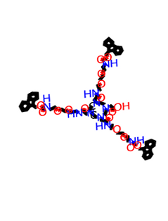 O=C(O)CN1CCN(CC(=O)NCCOCCOCCNC(=O)OCC2c3ccccc3-c3ccccc32)CCN(CC(=O)NCCOCCOCCNC(=O)OCC2c3ccccc3-c3ccccc32)CCN(CC(=O)NCCOCCOCCNC(=O)OCC2c3ccccc3-c3ccccc32)CC1